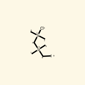 C[Si](C)(Cl)C[Si](C)(C)CI